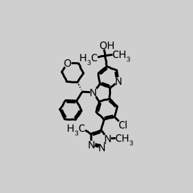 Cc1nnn(C)c1-c1cc2c(cc1Cl)c1ncc(C(C)(C)O)cc1n2[C@H](c1ccccc1)C1CCOCC1